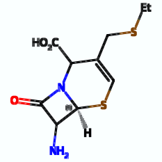 CCSCC1=CS[C@H]2C(N)C(=O)N2C1C(=O)O